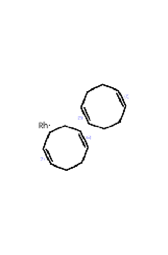 C1=C\CC/C=C\CC/1.C1=C\CC/C=C\CC/1.[Rh]